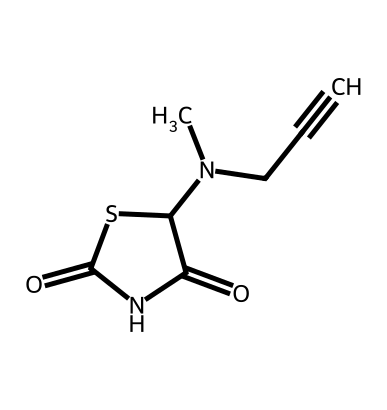 C#CCN(C)C1SC(=O)NC1=O